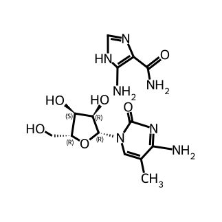 Cc1cn([C@@H]2O[C@H](CO)[C@@H](O)[C@H]2O)c(=O)nc1N.NC(=O)c1nc[nH]c1N